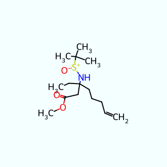 C=CCCCC(CC)(CC(=O)OC)N[S+]([O-])C(C)(C)C